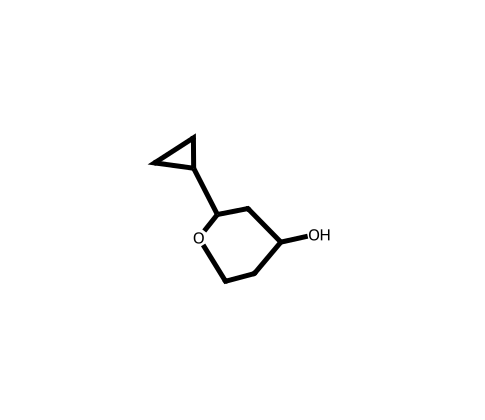 OC1CCOC(C2CC2)C1